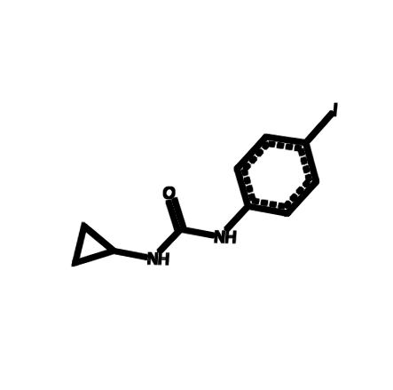 O=C(Nc1ccc(I)cc1)NC1CC1